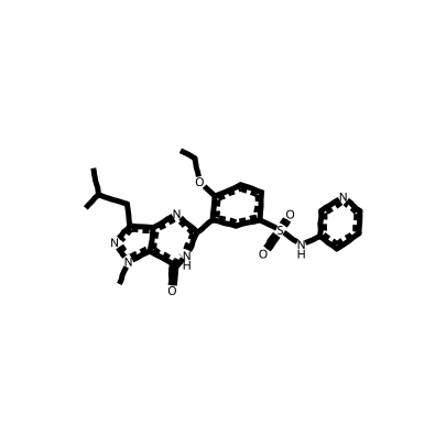 CCOc1ccc(S(=O)(=O)Nc2cccnc2)cc1-c1nc2c(CC(C)C)nn(C)c2c(=O)[nH]1